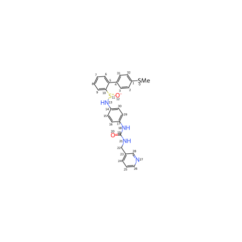 CSc1ccc(-c2ccccc2[S+]([O-])Nc2ccc(NC(=O)NCc3cccnc3)cc2)cc1